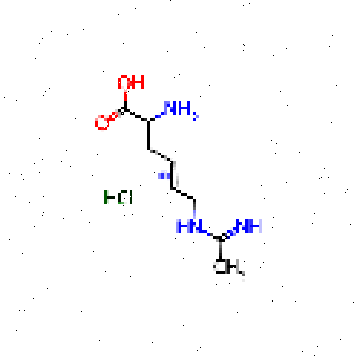 CC(=N)NC/C=C/CC(N)C(=O)O.Cl